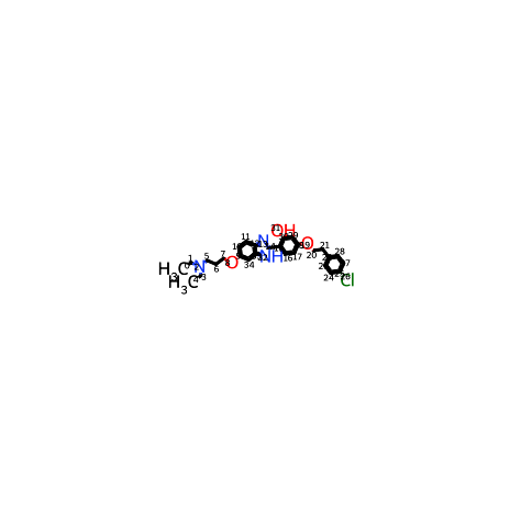 CCN(CC)CCCOc1ccc2nc(-c3ccc(OCCc4ccc(Cl)cc4)cc3O)[nH]c2c1